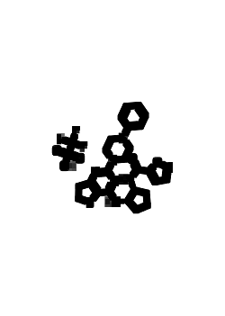 O=C(N[C@H]1CCC[C@@H]1Nc1nc(N2CCN(c3ccccc3)CC2)nc2c1SCC2)c1ccno1.O=S(=O)(O)C(F)(F)F